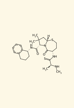 CN[C@@H](C)C(=S)N[C@H]1CCS[C@H]2CC(C)(C)[C@@H](C(=O)N[C@@H]3CCCc4ccccc43)N2C1=O